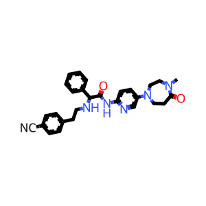 CN1CCN(c2ccc(NC(=O)C(NCCc3ccc(C#N)cc3)c3ccccc3)nc2)CCC1=O